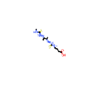 CNC(=S)N/N=C(C)/C(C)=N/NC(=S)NCCCC(=O)O